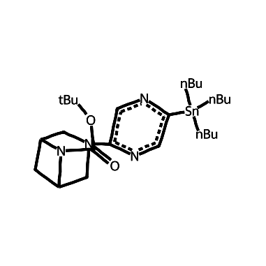 CCC[CH2][Sn]([CH2]CCC)([CH2]CCC)[c]1cnc(N2CC3CC(C2)N3C(=O)OC(C)(C)C)cn1